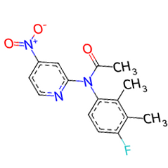 CC(=O)N(c1cc([N+](=O)[O-])ccn1)c1ccc(F)c(C)c1C